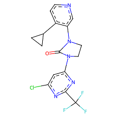 O=C1N(c2cc(Cl)nc(C(F)(F)F)n2)CCN1c1cnccc1C1CC1